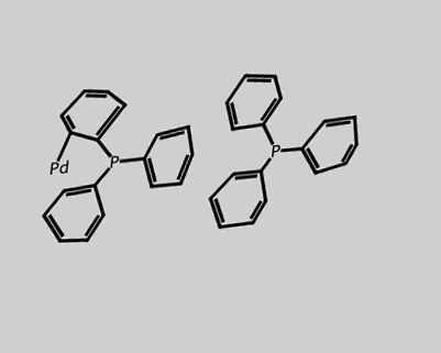 [Pd][c]1ccccc1P(c1ccccc1)c1ccccc1.c1ccc(P(c2ccccc2)c2ccccc2)cc1